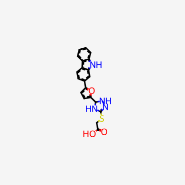 O=C(O)CSC1=NNC(c2ccc(-c3ccc4c(c3)[nH]c3ccccc34)o2)N1